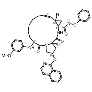 COc1cccc(N[C@H]2CCCCC/C=C\[C@@H]3C[C@@]3(C(=O)NOc3ccccc3)NC(=O)[C@@H]3C[C@@H](Oc4nccc5ccccc45)CN3C2=O)c1